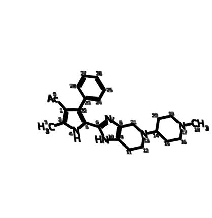 CC(=O)c1c(C)[nH]c(-c2nc3c([nH]2)CCN(C2CCN(C)CC2)C3)c1-c1ccccc1